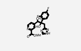 COC(=O)c1cc(C(C)C(O)(Cc2nc[nH]n2)c2ccc(F)cc2F)ccn1